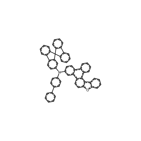 c1ccc(-c2ccc(N(c3ccc4c(c3)C3(c5ccccc5-c5ccccc53)c3ccccc3-4)c3ccc4c5ccccc5c5c(ccc6oc7ccccc7c65)c4c3)cc2)cc1